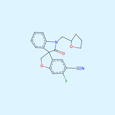 N#Cc1cc2c(cc1F)OCC21C(=O)N(CC2CCCO2)c2ccccc21